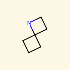 C1CC2(C1)CC[N]2